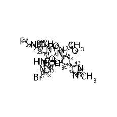 CC(=O)c1nn(CC(=O)N2[C@H](C(=O)Nc3nc(Br)ccc3C)C[C@@]3(CNCCF)C#C[C@@H]23)c2c(C)cc(-c3cnc(C)nc3)cc12